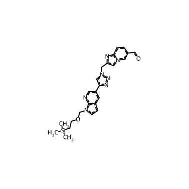 C[Si](C)(C)CCOCn1ccc2cc(-c3cn(Cc4cn5cc(C=O)ccc5n4)nn3)cnc21